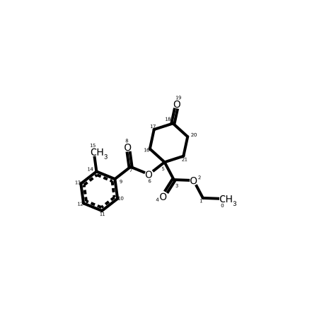 CCOC(=O)C1(OC(=O)c2ccccc2C)CCC(=O)CC1